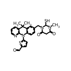 CN1C(=O)CC(=O)N(Cc2ccc3c(c2)C(C)(C)c2cccnc2N3c2ccc(C=O)s2)C1S